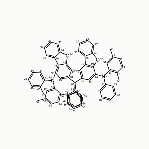 Cc1ccc(C)c(N(c2ccccc2)c2cc3c(c4c2oc2ccccc24)-c2c4cc(c5c2oc2ccccc25)N(c2ccccc2C)c2cc(C)ccc2-c2ccccc2C43c2ccccc2)c1